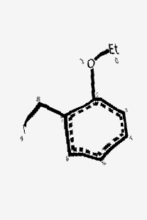 CCOc1ccccc1CI